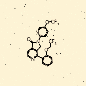 O=C1c2ccnc(-c3ccccc3OCC(F)(F)F)c2CN1c1ccc(OC(F)(F)F)cn1